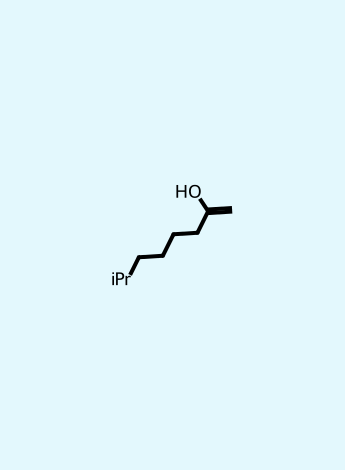 C=C(O)CCCCC(C)C